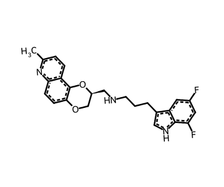 Cc1ccc2c3c(ccc2n1)OC[C@H](CNCCCc1c[nH]c2c(F)cc(F)cc12)O3